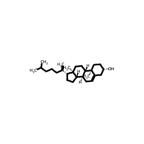 C=C(CCCC(C)C)[C@H]1CC[C@H]2[C@@H]3CC=C4C[C@@H](O)CC[C@]4(C)[C@H]3CC[C@]12C